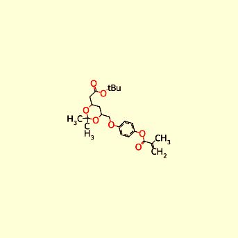 C=C(C)C(=O)Oc1ccc(OCC2CC(CC(=O)OC(C)(C)C)OC(C)(C)O2)cc1